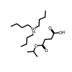 CC(C)OC(=O)CCC(=O)O.CCC[CH2][SnH]([CH2]CCC)[CH2]CCC